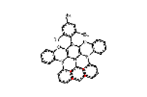 CCC(C)c1cc(C(C)CC)c(B2C3=C(N(c4ccccc4)C4=C2Oc2ccccc2N4c2ccccc2)N(c2ccccc2)c2ccccc2O3)c(C(C)CC)c1